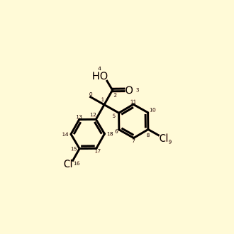 CC(C(=O)O)(c1ccc(Cl)cc1)c1ccc(Cl)cc1